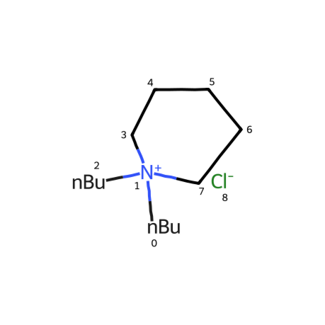 CCCC[N+]1(CCCC)CCCCC1.[Cl-]